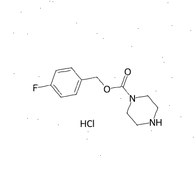 Cl.O=C(OCc1ccc(F)cc1)N1CCNCC1